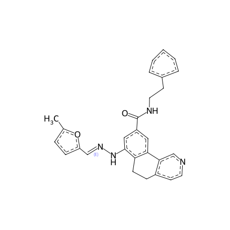 Cc1ccc(/C=N/Nc2cc(C(=O)NCCc3ccccc3)cc3c2CCc2ccncc2-3)o1